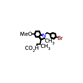 COc1ccc2c(c1)c([C@H](C)CC(=O)O)c(C)n2Cc1ccc(Br)cc1